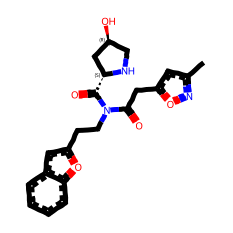 Cc1cc(CC(=O)N(CCc2cc3ccccc3o2)C(=O)[C@@H]2C[C@@H](O)CN2)on1